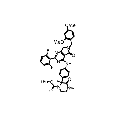 COc1ccc(CN2Cc3nc(-c4c(F)cccc4F)nc(Nc4ccc(C5(C)C(=O)N(C)CCN5C(=O)OC(C)(C)C)cc4)c3C2=O)c(OC)c1